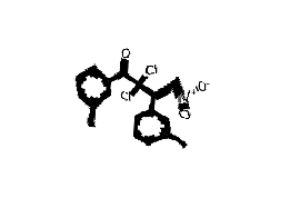 Cc1cccc(C(=O)C(Cl)(Cl)C(=C[N+](=O)[O-])c2cccc(C)c2)c1